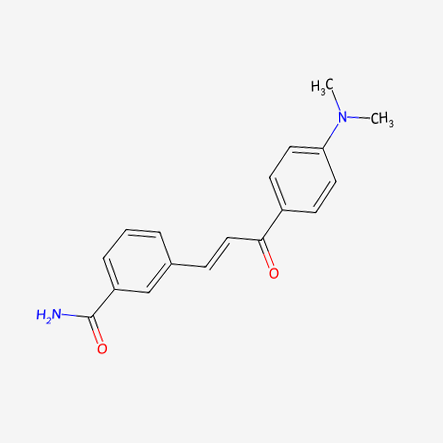 CN(C)c1ccc(C(=O)C=Cc2cccc(C(N)=O)c2)cc1